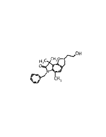 Cc1cc2c(c3c1N(Cc1ccccc1)C(=O)C3(C)C)OC(CCO)C2